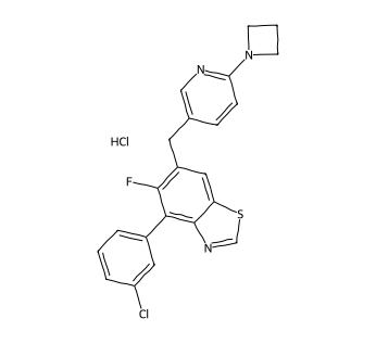 Cl.Fc1c(Cc2ccc(N3CCC3)nc2)cc2scnc2c1-c1cccc(Cl)c1